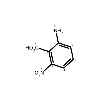 Nc1cc[c]c([N+](=O)[O-])c1C(=O)O